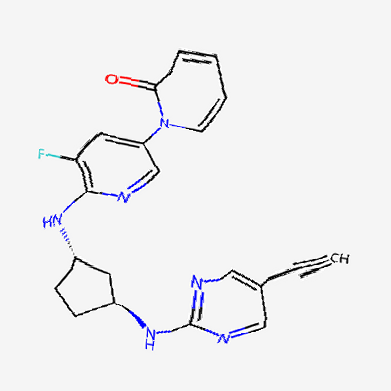 C#Cc1cnc(N[C@H]2CC[C@H](Nc3ncc(-n4ccccc4=O)cc3F)C2)nc1